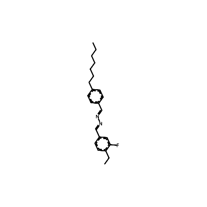 CCCCCCCc1ccc(C=NN=Cc2ccc(CC)c(F)c2)cc1